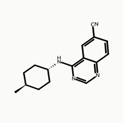 C[C@H]1CC[C@H](Nc2ncnc3ccc(C#N)cc23)CC1